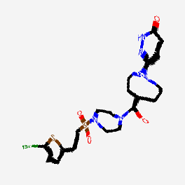 O=C(C1CCN(c2ccc(=O)[nH]n2)CC1)N1CCN(S(=O)(=O)C=Cc2ccc(Br)s2)CC1